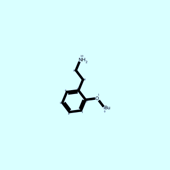 CCC(C)Oc1ccccc1CCN